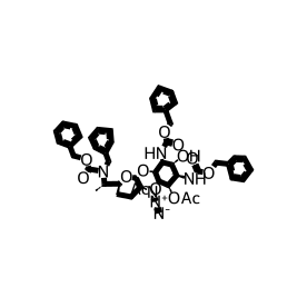 CC(=O)O[C@H]1[C@H](OC2O[C@H]([C@H](C)N(Cc3ccccc3)C(=O)OCc3ccccc3)CC[C@H]2N=[N+]=[N-])[C@@H](NC(=O)OCc2ccccc2)[C@H](O)[C@@H](NC(=O)OCc2ccccc2)[C@@H]1OC(C)=O